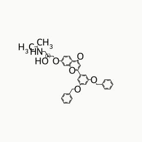 CC(C)NC[C@H](O)COc1ccc2c(=O)cc(-c3cc(OCc4ccccc4)cc(OCc4ccccc4)c3)oc2c1